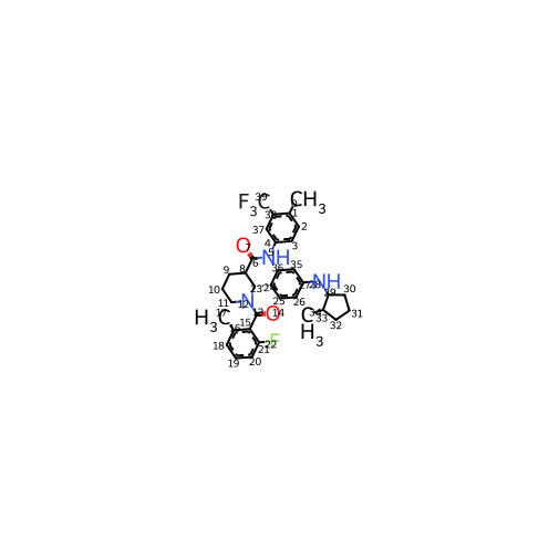 Cc1ccc(NC(=O)C2CCCN(C(=O)c3c(C)cccc3F)[C@H]2c2ccc(NC3CCCC3C)cc2)cc1C(F)(F)F